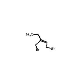 CCC(=CCBr)CBr